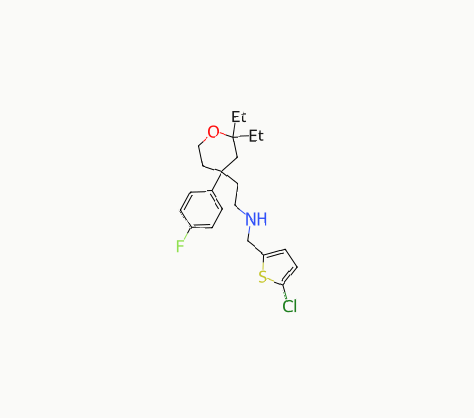 CCC1(CC)CC(CCNCc2ccc(Cl)s2)(c2ccc(F)cc2)CCO1